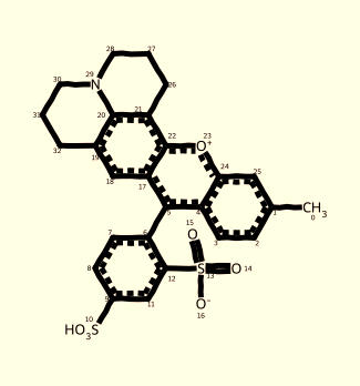 Cc1ccc2c(-c3ccc(S(=O)(=O)O)cc3S(=O)(=O)[O-])c3cc4c5c(c3[o+]c2c1)CCCN5CCC4